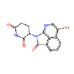 O=C1CCC(N2C(=O)c3cccc4c(S)cnc2c34)C(=O)N1